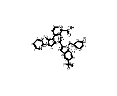 O=C(O)c1nccc(C2CCn3c2nc2cccnc23)c1NC(=O)c1cc2cc(C(F)(F)F)ccc2n1Cc1cccc(F)c1